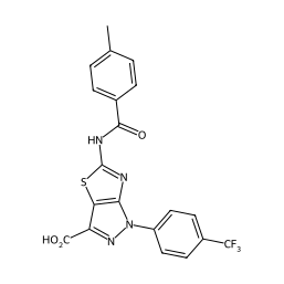 Cc1ccc(C(=O)Nc2nc3c(s2)c(C(=O)O)nn3-c2ccc(C(F)(F)F)cc2)cc1